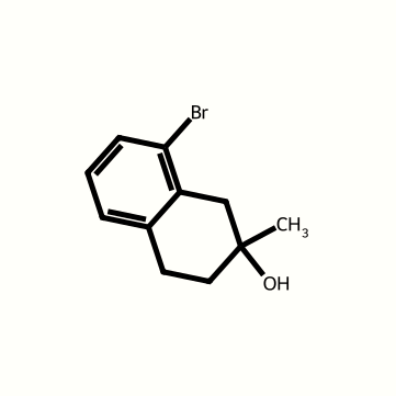 CC1(O)CCc2cccc(Br)c2C1